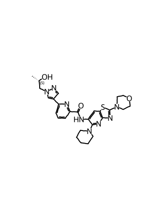 C[C@H](O)Cn1cc(-c2cccc(C(=O)Nc3cc4sc(N5CCOCC5)nc4nc3N3CCCCC3)n2)cn1